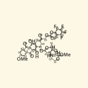 COc1cccc2c1C(=O)c1c(O)c3c(c(O)c1C2=O)C[C@@H](C(=O)COC(=O)Oc1c(F)c(F)c(F)c(F)c1F)C[C@@H]3O[C@H]1C[C@H]2[C@H](O[C@@H]3[C@@H](OC)OCCN32)[C@H](C)O1